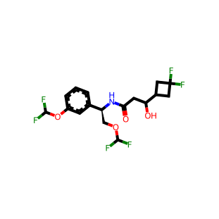 O=C(CC(O)C1CC(F)(F)C1)N[C@@H](COC(F)F)c1cccc(OC(F)F)c1